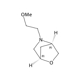 COCCN1C[C@H]2C[C@@H]1CO2